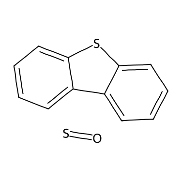 O=S.c1ccc2c(c1)sc1ccccc12